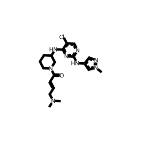 CN(C)CC=CC(=O)N1CCCC(Nc2nc(Nc3cnn(C)c3)ncc2Cl)C1